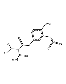 CCC(CC)N(C(=O)Cc1ccc(OC)c(N=S(=O)=O)c1)C(=O)NC